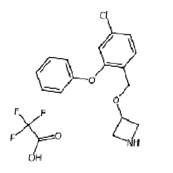 Clc1ccc(COC2CNC2)c(Oc2ccccc2)c1.O=C(O)C(F)(F)F